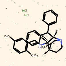 COc1ccc(SC)cc1CN[C@H]1[C@H]2CCN(C[C@@H]2C(=O)O)[C@H]1C(c1ccccc1)c1ccccc1.Cl.Cl